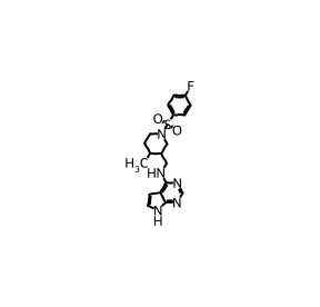 CC1CCN(S(=O)(=O)c2ccc(F)cc2)CC1CNc1ncnc2[nH]ccc12